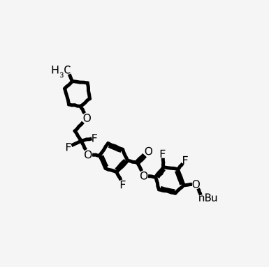 CCCCOc1ccc(OC(=O)c2ccc(OC(F)(F)COC3CCC(C)CC3)cc2F)c(F)c1F